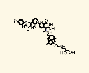 COc1ccc2sc(Nc3nnc4c(c3C)CCCN4c3ccc(/C(C=N)=C(\C)NCC45CCC6(C)CC7(OCCNCC[C@@H](O)CO)CC(C)(C4)CC67C5)c(C(=O)O)n3)nc2c1